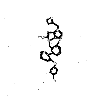 N#Cc1ccc(Oc2cccnc2-c2cccc(F)c2C[SH]2C(C(=O)O)=Cc3c2ncn3CC2CCO2)cc1